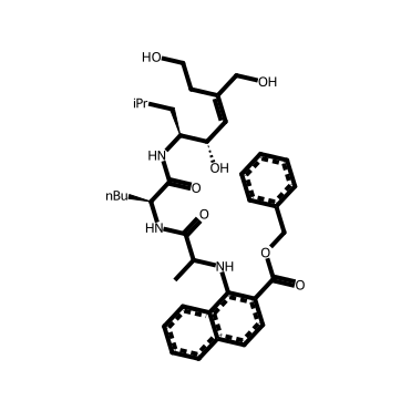 CCCC[C@H](NC(=O)C(C)Nc1c(C(=O)OCc2ccccc2)ccc2ccccc12)C(=O)N[C@@H](CC(C)C)[C@@H](O)/C=C(/CO)CCO